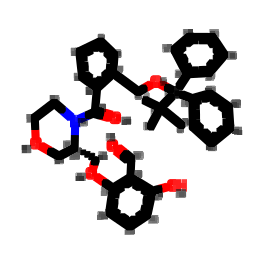 CC(C)(C)[Si](OCc1ccccc1C(=O)N1CCOC[C@H]1COc1cccc(O)c1C=O)(c1ccccc1)c1ccccc1